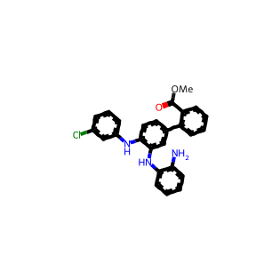 COC(=O)c1ccccc1-c1ccc(Nc2cccc(Cl)c2)c(Nc2ccccc2N)c1